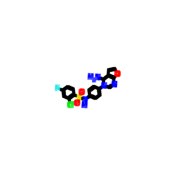 NC1c2ccoc2N=CN1c1ccc(NS(=O)(=O)c2ccc(F)cc2Cl)cc1